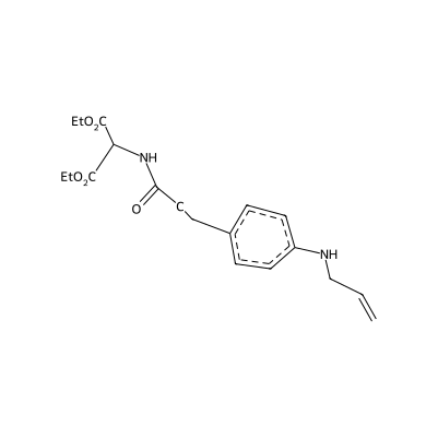 C=CCNc1ccc(CCC(=O)NC(C(=O)OCC)C(=O)OCC)cc1